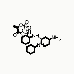 C=C(OP(=O)(O)O)C(=O)O.NC1CCCCC1.NC1CCCCC1.NC1CCCCC1